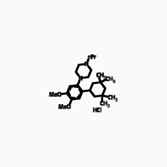 CCCN1CCN(c2cc(OC)c(OC)cc2C2CC(C)(C)CC(C)(C)C2)CC1.Cl